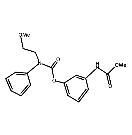 COCCN(C(=O)Oc1cccc(NC(=O)OC)c1)c1ccccc1